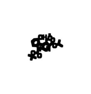 COCc1c(C(=O)OC(C)C)ncc2c1c1c(O)cccc1n2C(=O)OC(C)(C)C